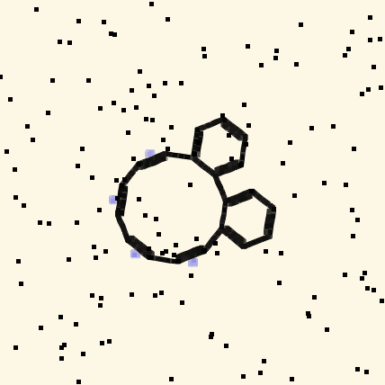 C1=C\C=C/c2ccccc2-c2ccccc2/C=C\C=C/1